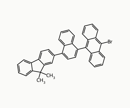 CC1(C)c2ccccc2-c2ccc(-c3ccc(-c4c5ccccc5c(Br)c5ccccc45)c4ccccc34)cc21